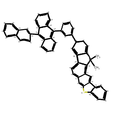 CC1(C)C2=CCC(c3cccc(-c4c5ccccc5c(-c5ccc6ccccc6c5)c5ccccc45)c3)C=C2c2ccc3cc4sc5ccccc5c4cc3c21